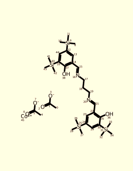 CC(=O)[O-].CC(=O)[O-].C[Si](C)(C)c1cc(C=NCCCN=Cc2cc([Si](C)(C)C)cc([Si](C)(C)C)c2O)c(O)c([Si](C)(C)C)c1.[Co+2]